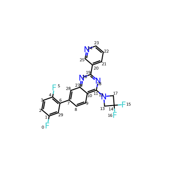 Fc1ccc(F)c(-c2ccc3c(N4CC(F)(F)C4)nc(-c4cccnc4)nc3c2)c1